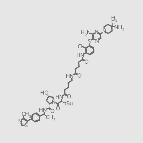 Cc1ncsc1-c1ccc([C@H](C)NC(=O)[C@@H]2C[C@@H](O)CN2C(=O)[C@@H](NC(=O)CCCCNC(=O)CCCC(=O)Nc2cccc(Sc3ncc(N4CCC(C)(N)CC4)nc3N)c2Cl)C(C)(C)C)cc1